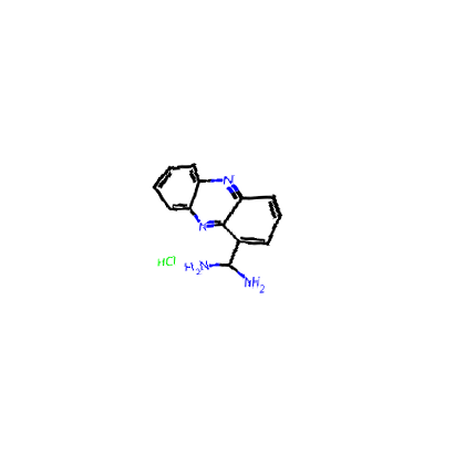 Cl.NC(N)c1cccc2nc3ccccc3nc12